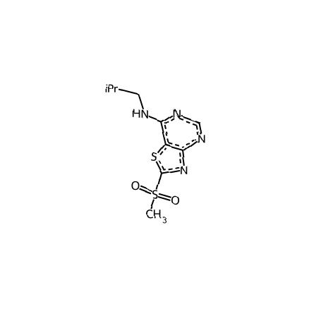 CC(C)CNc1ncnc2nc(S(C)(=O)=O)sc12